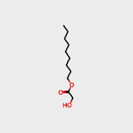 CCCCCCCCCOC(=O)CO